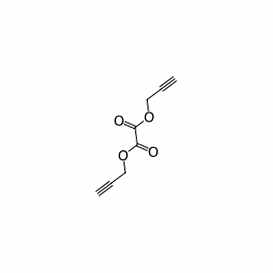 C#CCOC(=O)C(=O)OCC#C